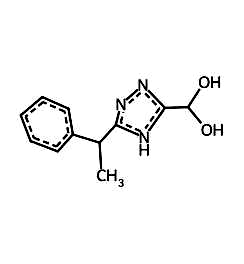 CC(c1ccccc1)c1nnc(C(O)O)[nH]1